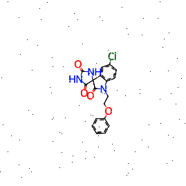 O=C1NC(=O)C2(N1)C(=O)N(CCOc1ccccc1)c1ccc(Cl)cc12